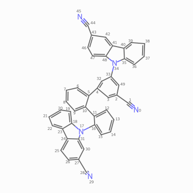 N#Cc1cc(-c2ccccc2-c2ccccc2-n2c3ccccc3c3ccc(C#N)cc32)cc(-n2c3ccccc3c3cc(C#N)ccc32)c1